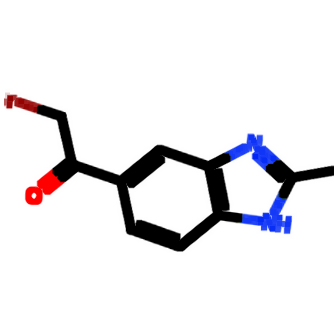 Cc1nc2cc(C(=O)CBr)ccc2[nH]1